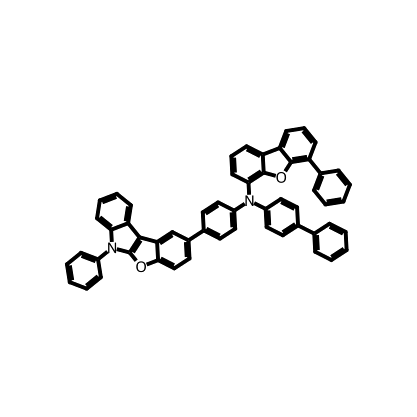 c1ccc(-c2ccc(N(c3ccc(-c4ccc5oc6c(c5c4)c4ccccc4n6-c4ccccc4)cc3)c3cccc4c3oc3c(-c5ccccc5)cccc34)cc2)cc1